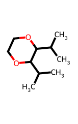 CC(C)C1OCCOC1C(C)C